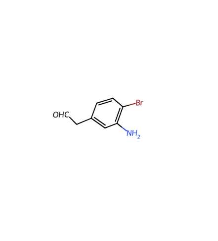 Nc1cc(CC=O)ccc1Br